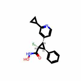 O=C(NO)[C@]1(F)[C@H](c2ccccc2)[C@H]1c1ccnc(C2CC2)c1